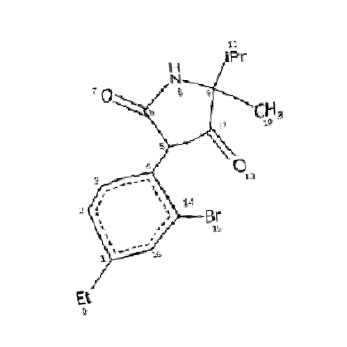 CCc1ccc(C2C(=O)NC(C)(C(C)C)C2=O)c(Br)c1